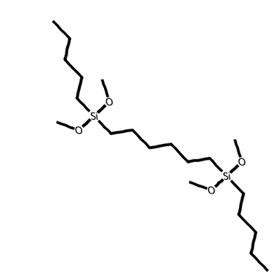 CCCCC[Si](CCCCCC[Si](CCCCC)(OC)OC)(OC)OC